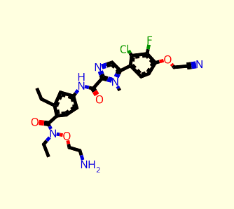 CCc1cc(NC(=O)c2ncc(-c3ccc(OCC#N)c(F)c3Cl)n2C)ccc1C(=O)N(CC)OCCN